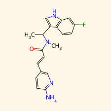 CC(c1c[nH]c2cc(F)ccc12)N(C)C(=O)C=Cc1ccc(N)nc1